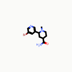 CN1CCC(C(N)=O)CC1c1cncc(Br)c1